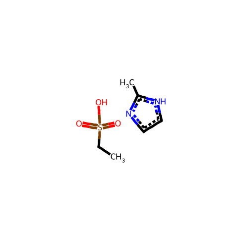 CCS(=O)(=O)O.Cc1ncc[nH]1